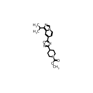 COC(=O)N1CCC(c2noc(-c3ccn4cnc(C(C)C)c4c3)n2)CC1